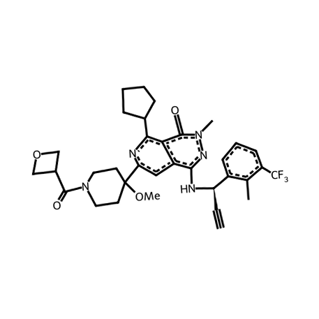 C#C[C@@H](Nc1nn(C)c(=O)c2c(C3CCCC3)nc(C3(OC)CCN(C(=O)C4COC4)CC3)cc12)c1cccc(C(F)(F)F)c1C